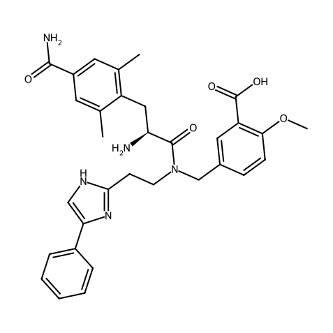 COc1ccc(CN(CCc2nc(-c3ccccc3)c[nH]2)C(=O)[C@@H](N)Cc2c(C)cc(C(N)=O)cc2C)cc1C(=O)O